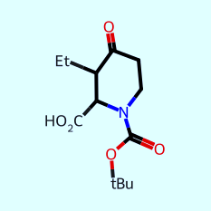 CCC1C(=O)CCN(C(=O)OC(C)(C)C)C1C(=O)O